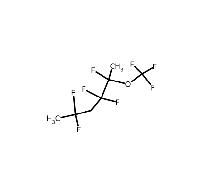 CC(F)(F)CC(F)(F)C(C)(F)OC(F)(F)F